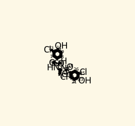 CC=C(NS(=O)(=O)c1ccc(O)c(Cl)c1)NS(=O)(=O)c1ccc(O)c(Cl)c1